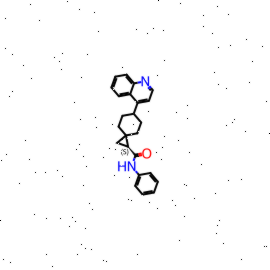 O=C(Nc1ccccc1)[C@H]1CC12CCC(c1ccnc3ccccc13)CC2